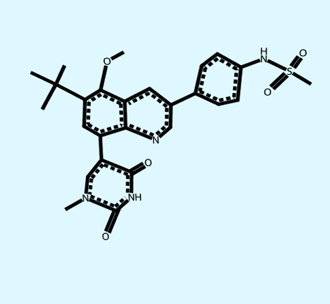 COc1c(C(C)(C)C)cc(-c2cn(C)c(=O)[nH]c2=O)c2ncc(-c3ccc(NS(C)(=O)=O)cc3)cc12